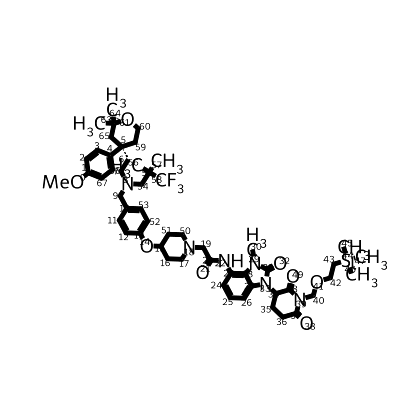 COc1ccc([C@]2(CCN(Cc3ccc(OC4CCN(CC(=O)Nc5cccc6c5n(C)c(=O)n6C5CCC(=O)N(COCC[Si](C)(C)C)C5=O)CC4)cc3)CC(C)(C)C(F)(F)F)CCOC(C)(C)C2)cc1